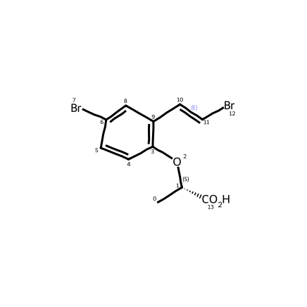 C[C@H](Oc1ccc(Br)cc1/C=C/Br)C(=O)O